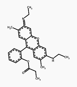 CC/N=c1\cc2oc3cc(NCC)c(C)cc3c(-c3ccccc3OC(=O)CC)c-2cc1C